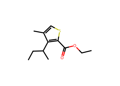 CCOC(=O)c1scc(C)c1C(C)CC